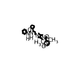 Cc1cc[n+]([O-])c(C)c1C(=O)N1CC2CN(CCC(NC(=O)Nc3ccccc3)c3ccccc3)CC2C1